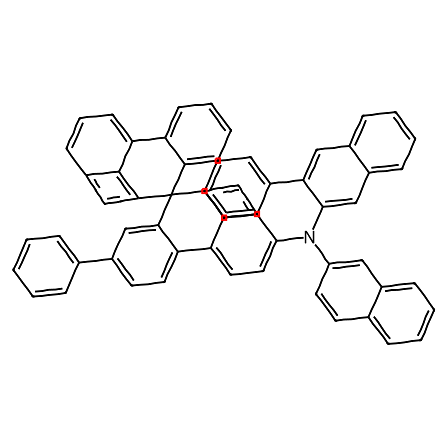 c1ccc(-c2ccc3c(c2)C2(c4ccccc4-c4cccc5cccc2c45)c2cccc4c(N(c5ccc6ccccc6c5)c5cc6ccccc6cc5-c5ccccc5)ccc-3c24)cc1